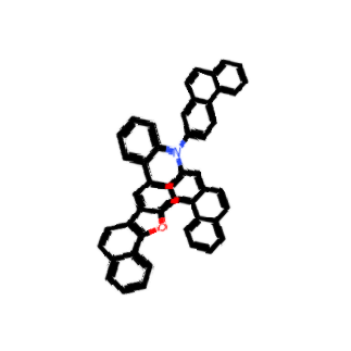 c1ccc(N(c2ccc3c(ccc4ccccc43)c2)c2ccc3c(ccc4ccccc43)c2)c(-c2ccc3oc4c5ccccc5ccc4c3c2)c1